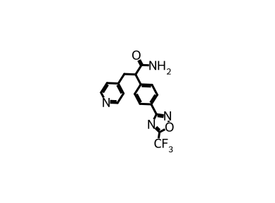 NC(=O)C(Cc1ccncc1)c1ccc(-c2noc(C(F)(F)F)n2)cc1